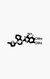 COc1cc2nc(N3CCN(c4ccc(C)o4)C4CCCC=C43)nc(N)c2cc1OC